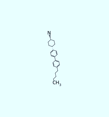 CCCCCc1ccc(-c2ccc([C@H]3CC[C@H](C#N)CC3)cc2)cc1